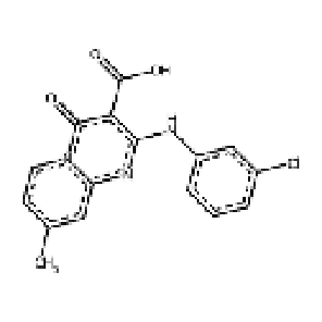 Cc1ccn2c(=O)c(C(=O)O)c(Nc3cccc(Cl)c3)nc2c1